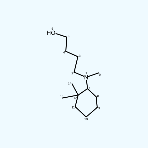 CN(CCCCO)C1CCCCC1(C)C